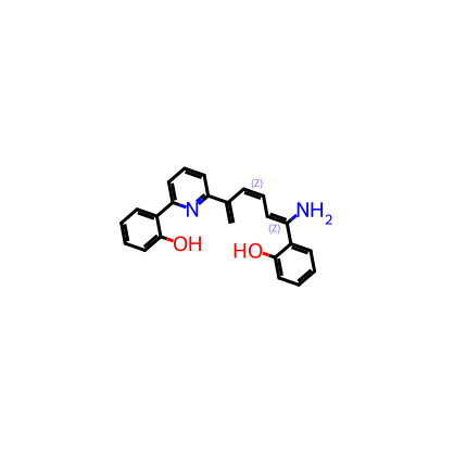 C=C(/C=C\C=C(/N)c1ccccc1O)c1cccc(-c2ccccc2O)n1